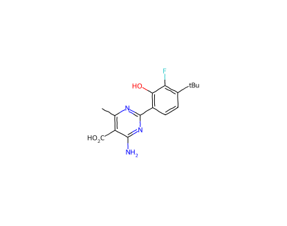 Cc1nc(-c2ccc(C(C)(C)C)c(F)c2O)nc(N)c1C(=O)O